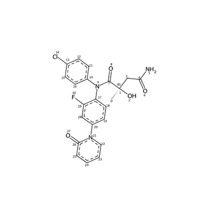 C[C@@](O)(CC(N)=O)C(=O)N(c1ccc(Cl)cc1)c1ccc(-n2ccccc2=O)cc1F